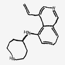 C=Cc1cncc2cccc(NC3CCNCC3)c12